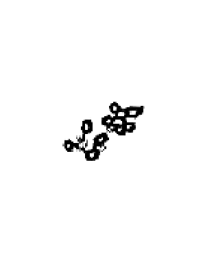 c1ccc(C2=C(c3ccccc3)c3cccc4c3c3c5c2cccc5ccc3n4-c2ccc3c(c2)oc2cccc(-c4nc(-c5ccccc5)nc(-c5ccccc5)n4)c23)cc1